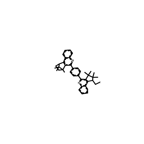 CC1(C)c2c(-c3ccc(-c4nc5ccccc5c5c4C4(C)CCC5C4(C)C)cc3)nc3ccccc3c2C(CI)C1(C)C